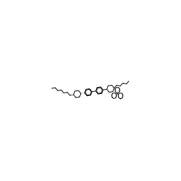 CCCCCCC[C@H]1CC[C@H](c2ccc(-c3ccc(C4CCC(CCCCC)(OC(=O)OC)CC4)cc3)cc2)CC1